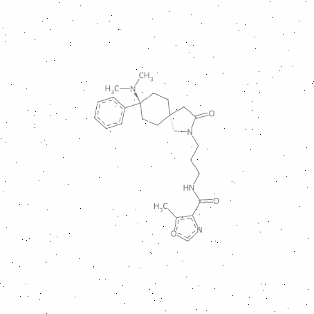 Cc1ocnc1C(=O)NCCCN1C[C@]2(CC[C@](c3ccccc3)(N(C)C)CC2)CC1=O